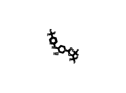 Cl.O=C(OC(C(F)(F)F)C(F)(F)F)N1CCC(Nc2ccc(C(F)(F)F)cn2)CC1